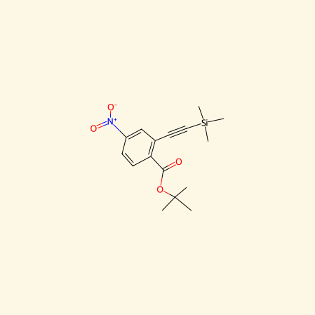 CC(C)(C)OC(=O)c1ccc([N+](=O)[O-])cc1C#C[Si](C)(C)C